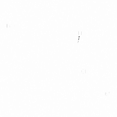 CCC#CC1=CC[C@H]2c3ccc4cc(O)ccc4c3CC[C@]12C